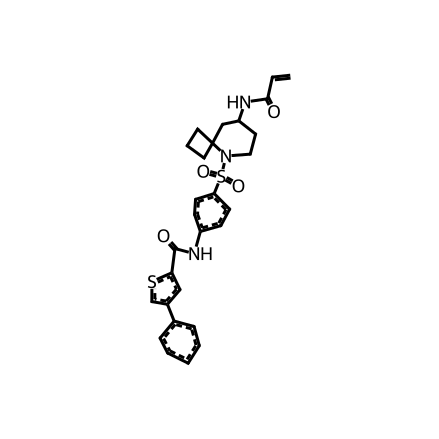 C=CC(=O)NC1CCN(S(=O)(=O)c2ccc(NC(=O)c3cc(-c4ccccc4)cs3)cc2)C2(CCC2)C1